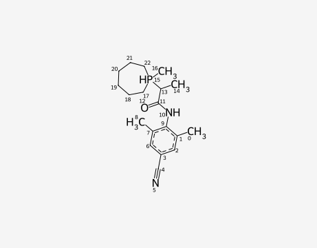 Cc1cc(C#N)cc(C)c1NC(=O)C(C)[PH]1(C)CCCCCC1